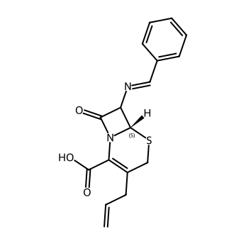 C=CCC1=C(C(=O)O)N2C(=O)C(N=Cc3ccccc3)[C@@H]2SC1